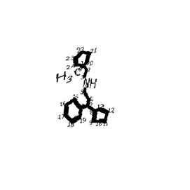 CC1(CCNCCC(c2ccccc2)c2ccccc2)C=CC=CC1